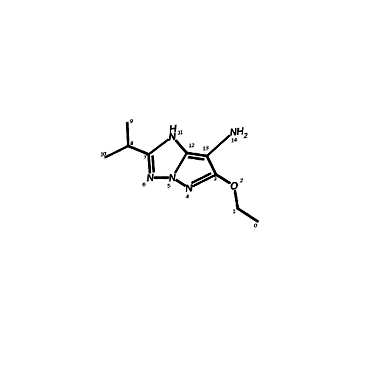 CCOc1nn2nc(C(C)C)[nH]c2c1N